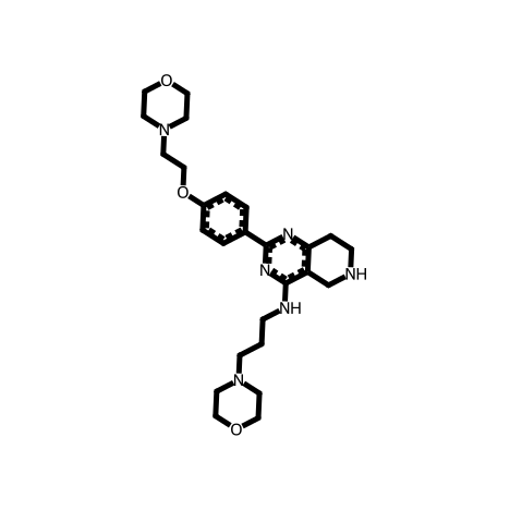 c1cc(-c2nc3c(c(NCCCN4CCOCC4)n2)CNCC3)ccc1OCCN1CCOCC1